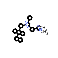 C=N/C=C(\C=C/C)c1cccc(-c2cc(-c3ccccc3)nc(-c3cccc(-c4c5ccccc5c(-c5cccc6ccccc56)c5ccccc45)c3)n2)c1